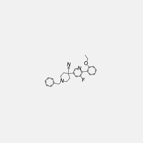 CCOc1ccccc1-c1ncc(C2(C#N)CCN(Cc3ccccc3)CC2)cc1F